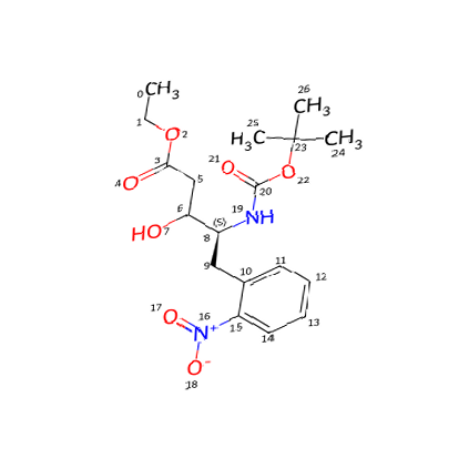 CCOC(=O)CC(O)[C@H](Cc1ccccc1[N+](=O)[O-])NC(=O)OC(C)(C)C